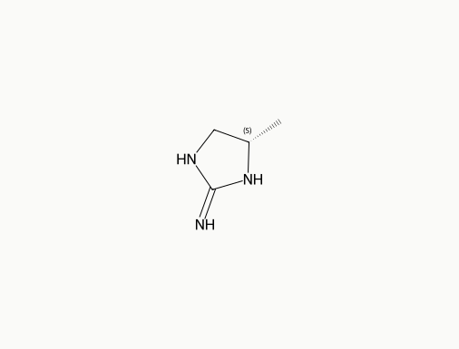 C[C@H]1CNC(=N)N1